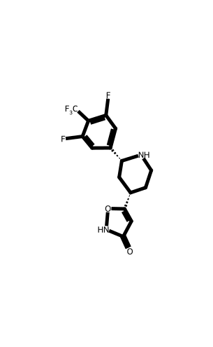 O=c1cc([C@H]2CCN[C@@H](c3cc(F)c(C(F)(F)F)c(F)c3)C2)o[nH]1